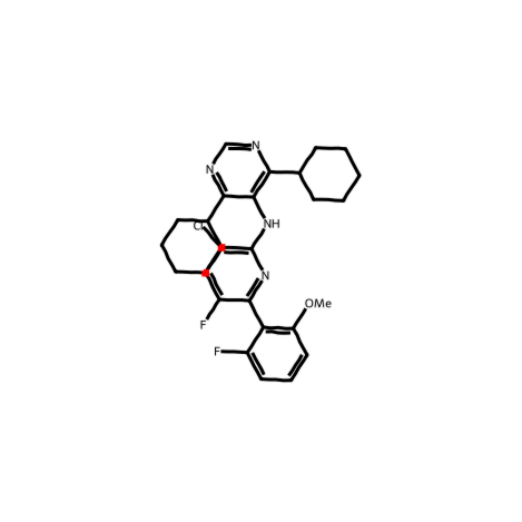 COc1cccc(F)c1-c1nc(Nc2c(C3CCCCC3)ncnc2C2CCCCC2)c(Cl)cc1F